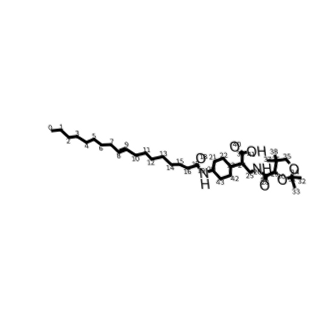 CCCCCCCCC=CCCCCCCCC(=O)NC1CCC(C(CNC(=O)C2OC(C)(C)OCC2(C)C)C(=O)O)CC1